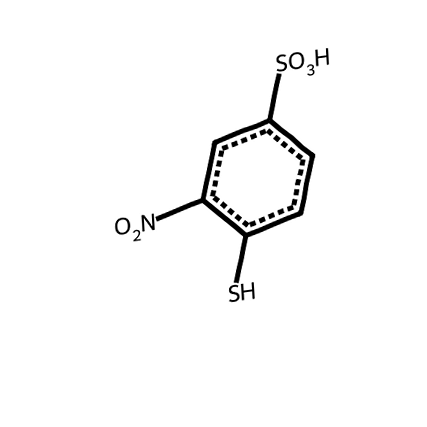 O=[N+]([O-])c1cc(S(=O)(=O)O)ccc1S